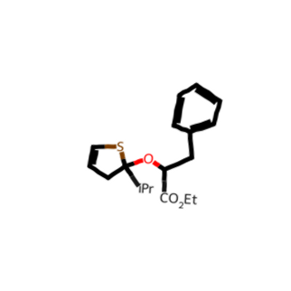 CCOC(=O)C(Cc1ccccc1)OC1(C(C)C)CC=CS1